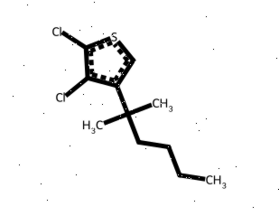 CCCCC(C)(C)c1csc(Cl)c1Cl